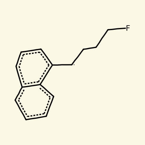 FCCC[CH]c1cccc2ccccc12